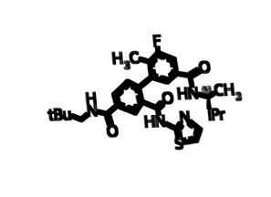 Cc1c(F)cc(C(=O)N[C@@H](C)C(C)C)cc1-c1ccc(C(=O)NCC(C)(C)C)cc1C(=O)Nc1nccs1